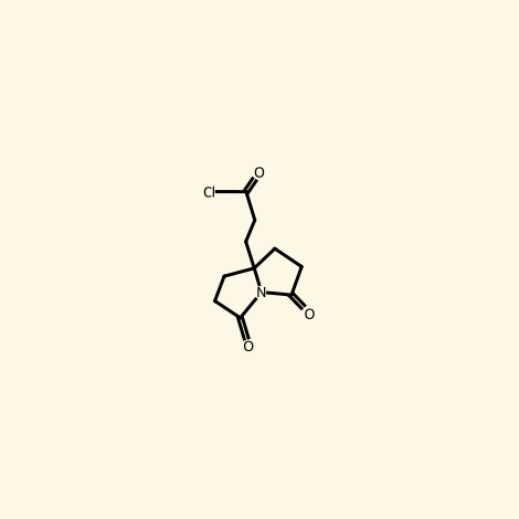 O=C(Cl)CCC12CCC(=O)N1C(=O)CC2